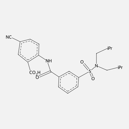 CC(C)CN(CC(C)C)S(=O)(=O)c1cccc(C(=O)Nc2ccc(C#N)cc2C(=O)O)c1